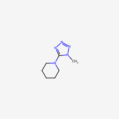 Cn1nnnc1N1C[CH]CCC1